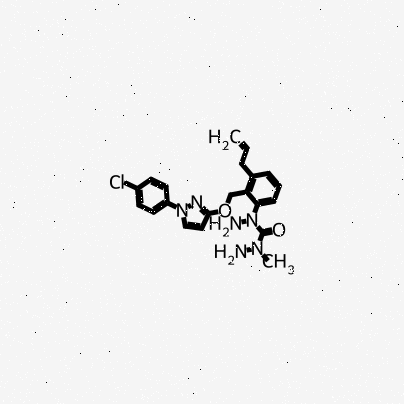 C=CCc1cccc(N(N)C(=O)N(C)N)c1COc1ccn(-c2ccc(Cl)cc2)n1